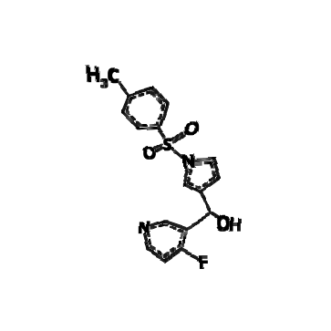 Cc1ccc(S(=O)(=O)n2ccc(C(O)c3cnccc3F)c2)cc1